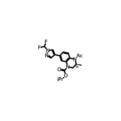 CC(=O)N1c2ccc(-c3cnn(C(F)F)c3)cc2N(C(=O)OC(C)C)C[C@@H]1C